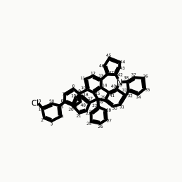 Clc1cccc(-c2ccc(-c3ccc4c5c3C(c3ccccc3)(c3ccccc3)c3ccc6c7ccccc7n(c6c3-5)-c3ccccc3-4)cc2)c1